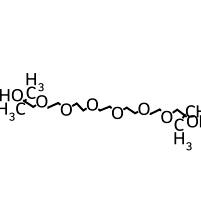 CC(C)(O)COCCOCCOCCOCCOCCOCC(C)(C)O